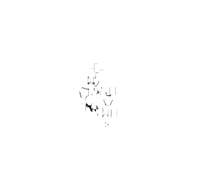 N#Cc1cccc(-n2nc(C(F)(F)F)cc2C(=O)Nc2cc(C(NCC3CC3)c3nccs3)ccc2F)c1